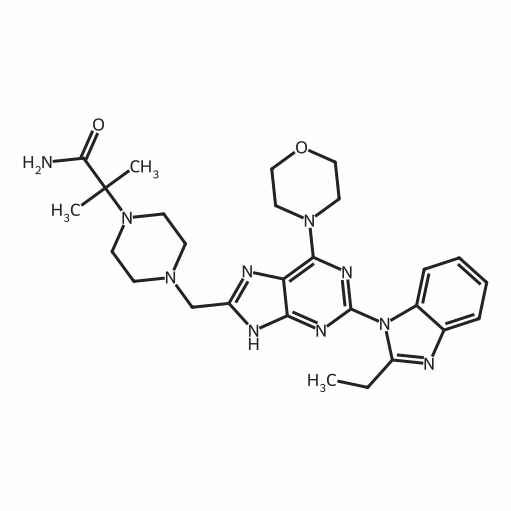 CCc1nc2ccccc2n1-c1nc(N2CCOCC2)c2nc(CN3CCN(C(C)(C)C(N)=O)CC3)[nH]c2n1